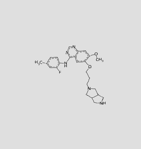 COc1cc2ncnc(Nc3ccc(C)cc3F)c2cc1OCCCN1CC2CNCC2C1